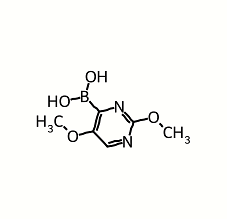 COc1ncc(OC)c(B(O)O)n1